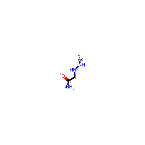 CC(=O)NNCC(N)=O